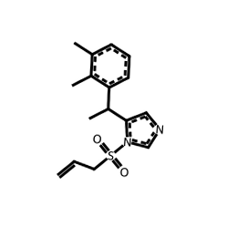 C=CCS(=O)(=O)n1cncc1C(C)c1cccc(C)c1C